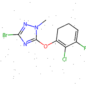 Cn1nc(Br)nc1OC1=C(Cl)C(F)=CCC1